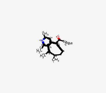 CNC(=O)C1=CC[C@@H](C)C(C)c2c1cc(C)nc2C